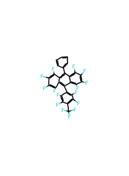 Fc1c(F)c(C(F)(F)F)c(F)c(F)c1-c1c2c(F)c(F)c(F)c(F)c2c(-c2ccccc2)c2c(F)c(F)c(F)c(F)c12